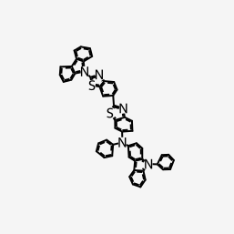 c1ccc(N(c2ccc3nc(-c4ccc5nc(-n6c7ccccc7c7ccccc76)sc5c4)sc3c2)c2ccc3c(c2)c2ccccc2n3-c2ccccc2)cc1